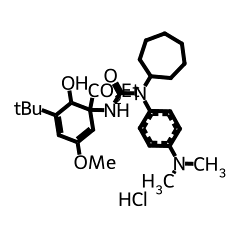 CCOC(=O)C1(NC(=O)N(c2ccc(N(C)C)cc2)C2CCCCCC2)C=C(OC)C=C(C(C)(C)C)C1O.Cl